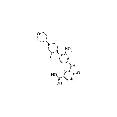 C[C@H]1CN(C2CCOCC2)CCN1c1ccc(Nc2nc(B(O)O)cn(C)c2=O)cc1[N+](=O)[O-]